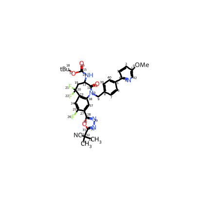 COc1ccc(-c2ccc(CN3C(=O)C(NC(=O)OC(C)(C)C)CC(F)(F)c4cc(F)c(-c5nnc(C(C)(C)C#N)o5)cc43)cc2)nc1